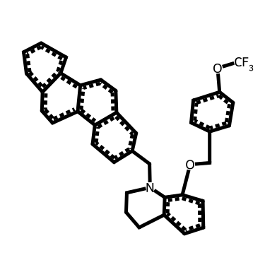 FC(F)(F)Oc1ccc(COc2cccc3c2N(Cc2ccc4c(ccc5c6ccccc6ccc45)c2)CCC3)cc1